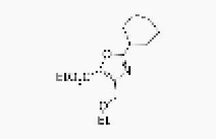 CCOCc1nc(C2=CCCCC2)oc1C(=O)OCC